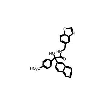 O=C(O)c1ccc(C(O)(C(=O)NCc2ccc3ocnc3c2)c2ccc3ccccc3c2)cc1